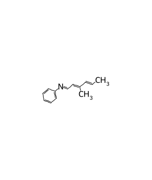 C/C=C/C(C)=C/C=N/c1ccccc1